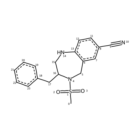 CS(=O)(=O)N1Cc2cc(C#N)ccc2NCC1Cc1ccccc1